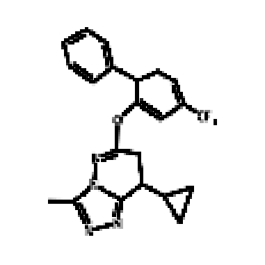 Cc1nnc2n1N=C(OC1=CC(C(F)(F)F)=CCC1c1ccccc1)CC2C1CC1